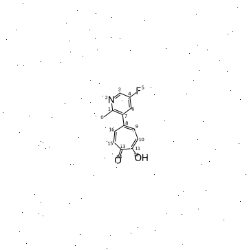 Cc1ncc(F)cc1-c1ccc(O)c(=O)cc1